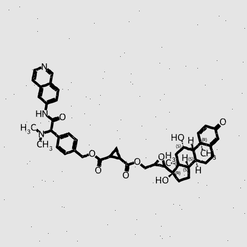 CN(C)C(C(=O)Nc1ccc2cnccc2c1)c1ccc(COC(=O)C2CC2C(=O)OCC2OC2[C@@]2(O)CC[C@H]3[C@@H]4CCC5=CC(=O)C=C[C@]5(C)[C@H]4[C@@H](O)C[C@@]32C)cc1